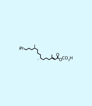 C/C(=C\C(=O)OC(=O)O)CCC[C@H](C)CCC[C@H](C)CCCC(C)C